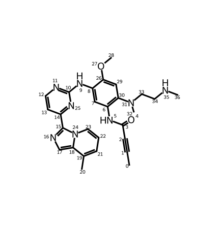 CC#CC(=O)Nc1cc(Nc2nccc(-c3ncc4c(C)cccn34)n2)c(OC)cc1N(C)CCNC